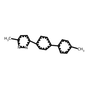 Cc1ccc(-c2ccc(-c3ccc(C)nn3)cc2)cc1